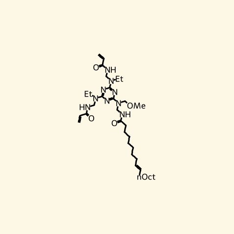 C=CC(=O)NCN(CC)c1nc(N(CC)CNC(=O)C=C)nc(N(CNC(=O)CCCCCCCC=CCCCCCCCC)COC)n1